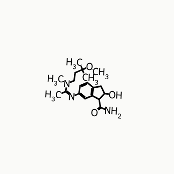 COC(C)(C)CCN(C)C(C)=Nc1ccc2c(c1)C(C(N)=O)C(O)C2